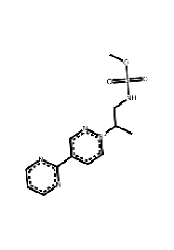 COS(=O)(=O)NCC(C)[n+]1ccc(-c2ncccn2)cn1